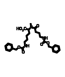 CN(C(=O)CCCNC(=O)OCc1ccccc1)C(CCCCNC(=O)OCc1ccccc1)C(=O)O